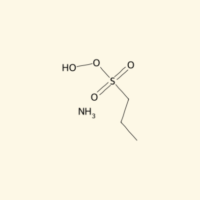 CCCS(=O)(=O)OO.N